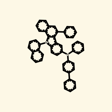 c1ccc(-c2ccc(N(c3ccccc3)c3ccc4c(c3)c3c(-c5ccccc5)cc5ccccc5c3n4-c3cccc4ccccc34)cc2)cc1